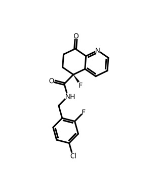 O=C1CC[C@@](F)(C(=O)NCc2ccc(Cl)cc2F)c2cccnc21